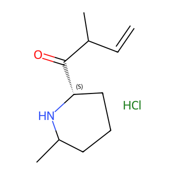 C=CC(C)C(=O)[C@@H]1CCCC(C)N1.Cl